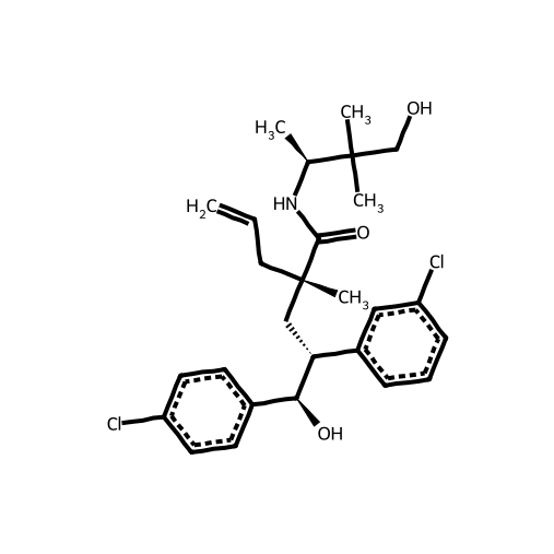 C=CC[C@@](C)(C[C@H](c1cccc(Cl)c1)[C@@H](O)c1ccc(Cl)cc1)C(=O)N[C@@H](C)C(C)(C)CO